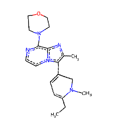 CCC1=CC=C(c2c(C)nc3c(N4CCOCC4)nccn23)CN1C